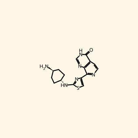 N[C@H]1CC[C@H](Nc2nc(-c3nccc4c(=O)[nH]cnc34)cs2)CC1